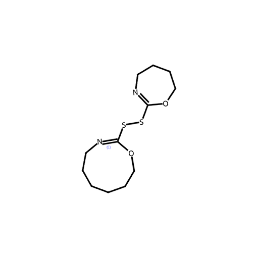 C1CCCO/C(SSC2=NCCCCO2)=N\CC1